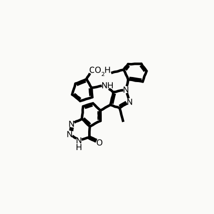 Cc1ccccc1-n1nc(C)c(-c2ccc3nn[nH]c(=O)c3c2)c1Nc1ccccc1C(=O)O